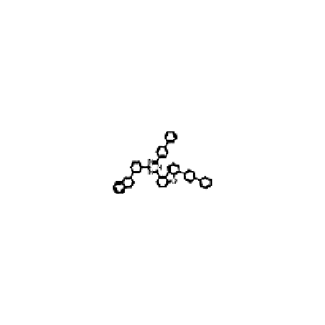 c1ccc(-c2ccc(-c3nc(-c4cccc(-c5ccc6ccccc6c5)c4)nc(-c4cccc5oc6c(-c7ccc(-c8ccccc8)cc7)cccc6c45)n3)cc2)cc1